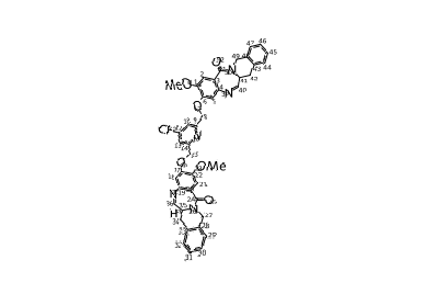 COc1cc2c(cc1OCc1cc(Cl)cc(COc3cc4c(cc3OC)C(=O)N3Cc5ccccc5C[C@H]3C=N4)n1)N=CC1Cc3ccccc3CN1C2=O